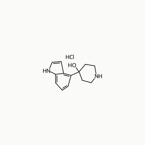 Cl.OC1(c2cccc3[nH]ccc23)CCNCC1